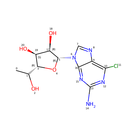 CC(O)[C@H]1O[C@@H](n2cnc3c(Cl)nc(N)nc32)[C@H](O)[C@@H]1O